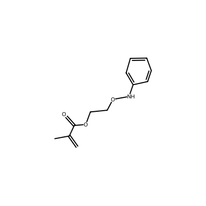 C=C(C)C(=O)OCCONc1ccccc1